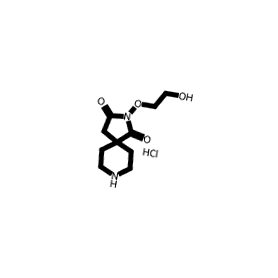 Cl.O=C1CC2(CCNCC2)C(=O)N1OCCO